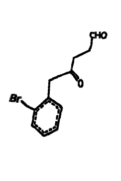 O=CCCC(=O)Cc1ccccc1Br